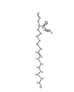 C=CCC(CCCCCCC=CCCCCCCCC)C(N)=O